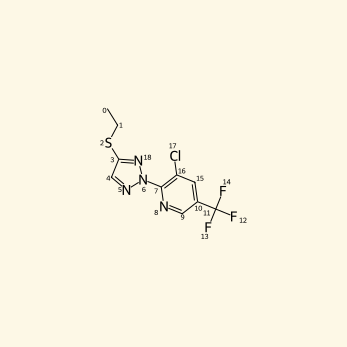 CCSc1cnn(-c2ncc(C(F)(F)F)cc2Cl)n1